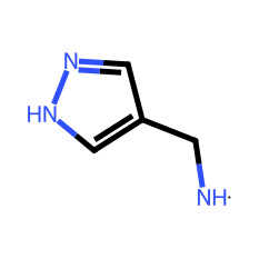 [NH]Cc1cn[nH]c1